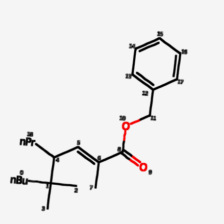 CCCCC(C)(C)C(C=C(C)C(=O)OCc1ccccc1)CCC